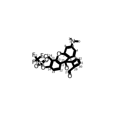 CN(C)c1ccc2c(c1)Oc1c(ccc(OS(=O)(=O)C(F)(F)F)c1Cl)C21OC(=O)c2ccccc21